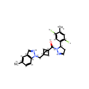 Cc1cc(F)c(C2CC=NN2C(=O)C23CC(Cn4ncc5cc(C#N)ccc54)(C2)C3)cc1F